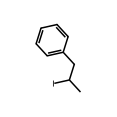 CC(I)Cc1ccccc1